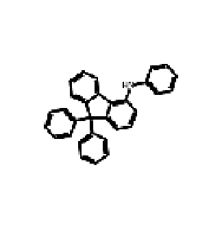 c1ccc(Nc2cccc3c2-c2ccccc2C3(c2ccccc2)c2ccccc2)cc1